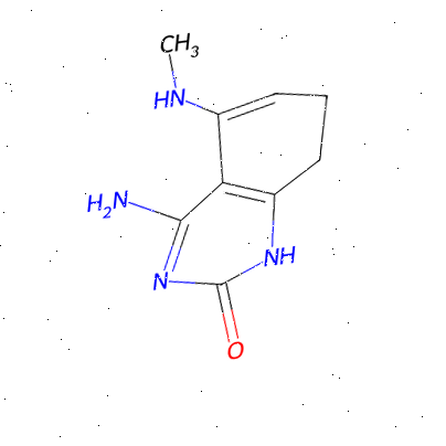 CNC1=CCCc2[nH]c(=O)nc(N)c21